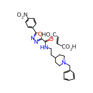 O=C(NCCC1CCN(Cc2ccccc2)CC1)c1nnc(-c2ccc([N+](=O)[O-])cc2)o1.O=C(O)/C=C/C(=O)O